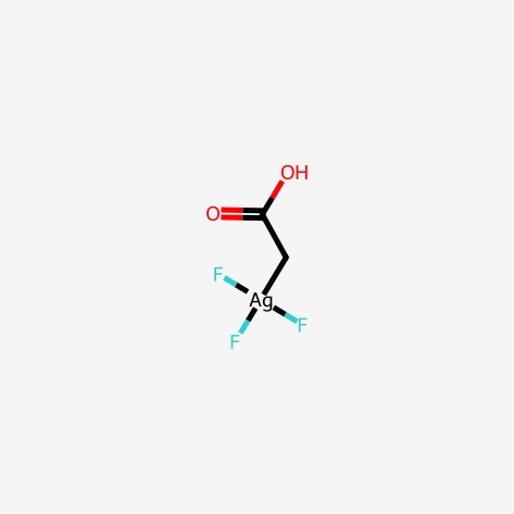 O=C(O)[CH2][Ag]([F])([F])[F]